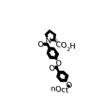 CCCCCCCCOc1ccc(C(=O)Oc2ccc(C(=O)N3CCC[C@H]3C(=O)O)cc2)cc1